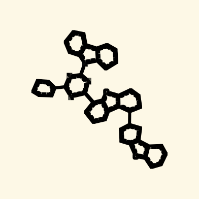 c1ccc(-c2nc(-c3cccc4c3oc3cccc(-c5ccc6oc7ccccc7c6c5)c34)nc(-n3c4ccccc4c4ccccc43)n2)cc1